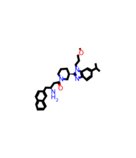 COCCCn1c([C@@H]2CCCN(C(=O)C[C@H](N)Cc3ccc4ccccc4c3)C2)nc2ccc(C(C)C)cc21